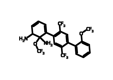 NC1C=CC=C(c2cc(C(F)(F)F)c(-c3ccccc3OC(F)(F)F)cc2C(F)(F)F)C1(N)OC(F)(F)F